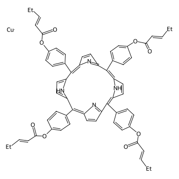 CCC=CC(=O)Oc1ccc(-c2c3nc(c(-c4ccc(OC(=O)C=CCC)cc4)c4ccc([nH]4)c(-c4ccc(OC(=O)C=CCC)cc4)c4nc(c(-c5ccc(OC(=O)C=CCC)cc5)c5ccc2[nH]5)C=C4)C=C3)cc1.[Cu]